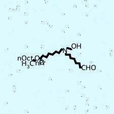 CCCCCCCCC(C)(CCC)OC(=O)CCCCCCCN(CCO)CCCCCCCC=O